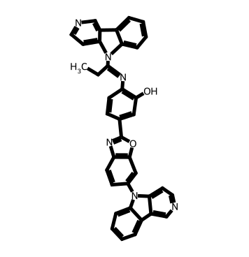 CC/C(=N\c1ccc(-c2nc3ccc(-n4c5ccccc5c5cnccc54)cc3o2)cc1O)n1c2ccccc2c2cnccc21